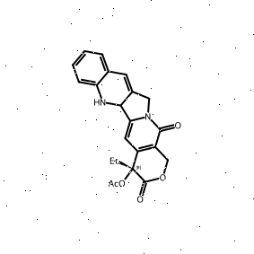 CC[C@]1(OC(C)=O)C(=O)OCc2c1cc1n(c2=O)CC2=Cc3ccccc3NC21